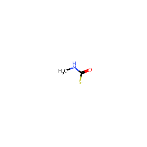 CNC(=O)[S]